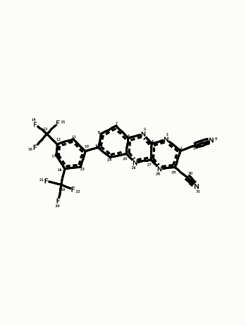 N#Cc1nc2nc3ccc(-c4cc(C(F)(F)F)cc(C(F)(F)F)c4)cc3nc2nc1C#N